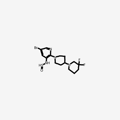 O=[SH]Nc1cc(Br)cnc1N1CCC(N2CCCC(F)(F)C2)CC1